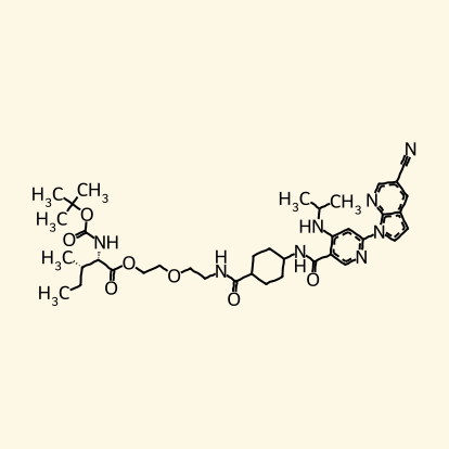 CC[C@H](C)[C@H](NC(=O)OC(C)(C)C)C(=O)OCCOCCNC(=O)C1CCC(NC(=O)c2cnc(-n3ccc4cc(C#N)cnc43)cc2NC(C)C)CC1